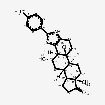 Cc1ccc(-c2nc3c(s2)[C@@H]2[C@@H](O)C[C@@H]4[C@H](CC[C@]5(C)C(=O)CC[C@@H]45)[C@@]2(C)CC3)cc1